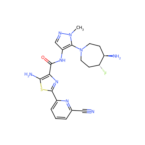 Cn1ncc(NC(=O)c2nc(-c3cccc(C#N)n3)sc2N)c1N1CC[C@@H](N)[C@H](F)CC1